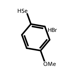 Br.COc1ccc([SeH])cc1